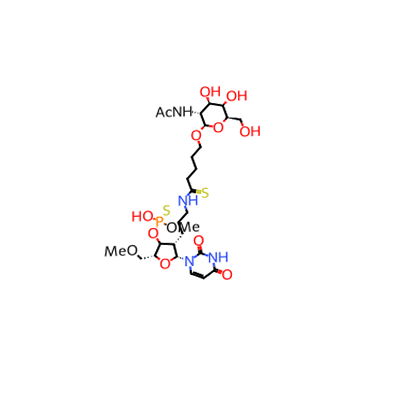 COC[C@H]1O[C@@H](n2ccc(=O)[nH]c2=O)[C@@H](CCCNC(=S)CCCCO[C@@H]2O[C@H](CO)[C@H](O)[C@H](O)[C@H]2NC(C)=O)C1OP(O)(=S)OC